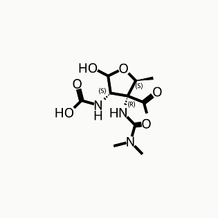 CC(=O)[C@]1(NC(=O)N(C)C)[C@H](C)OC(O)[C@H]1NC(=O)O